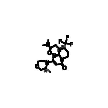 C[C@@H]1COCCN1c1cc(=O)n2c(n1)N(CC(=O)N(C)C)[C@H](C(F)(F)F)CC2